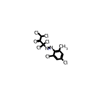 Cc1cc(Cl)cc(Cl)c1/N=N/C(Cl)(Cl)C(=O)C(Cl)Cl